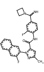 Cc1cc(C(=O)Nc2ccc(C(=N)N3CCC3)cc2F)n(-c2cc3ccccc3cc2F)n1